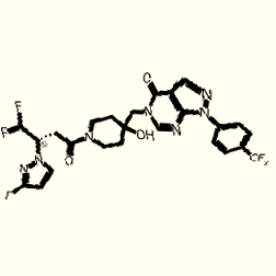 O=C(C[C@@H](C(F)F)n1ccc(F)n1)N1CCC(O)(Cn2cnc3c(cnn3-c3ccc(C(F)(F)F)cc3)c2=O)CC1